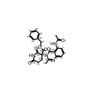 CC(=O)Nc1cccc2nc(C)n([C@]3(C(=O)OCc4ccccc4)CCC(=O)NC3=O)c(=O)c12